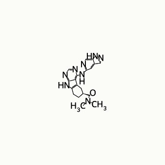 CN(C)C(=O)[C@H]1CCc2[nH]c3ncnc(Nc4cc5cn[nH]c5cn4)c3c2C1